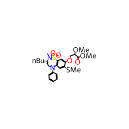 CCCC[C@H]1CN(c2ccccc2)c2cc(SC)c(OCC(OC)C(=O)OC)cc2S(=O)(=O)N1C